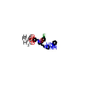 COc1cc(CN2CCC(CCCN3CCC(Nc4nc5ccccc5[nH]4)CC3)(Cc3ccc(F)cc3)C2=O)cc(OC)c1OC